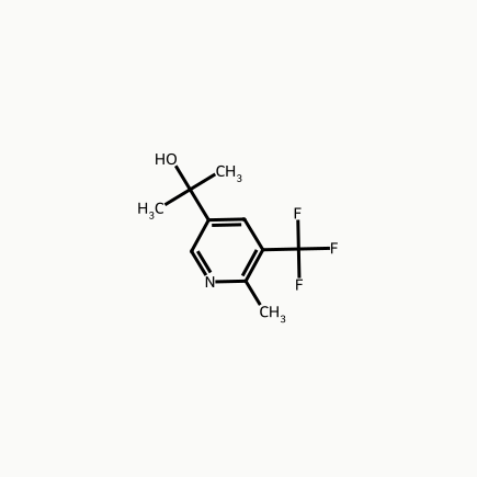 Cc1ncc(C(C)(C)O)cc1C(F)(F)F